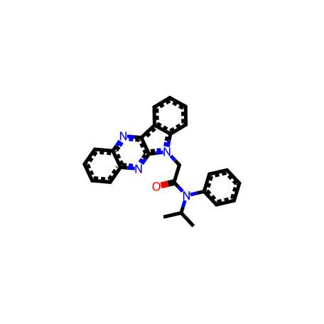 CC(C)N(C(=O)Cn1c2ccccc2c2nc3ccccc3nc21)c1ccccc1